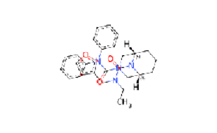 CCN(Cc1ccoc1)C(=O)N1[C@@H]2CCC[C@H]1CN(C(=O)N(c1ccccc1)c1ccccc1)C2